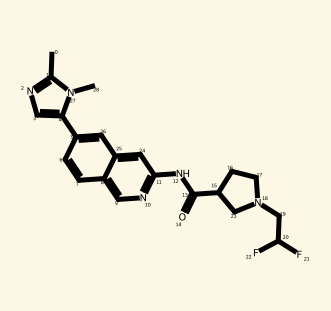 Cc1ncc(-c2ccc3cnc(NC(=O)C4CCN(CC(F)F)C4)cc3c2)n1C